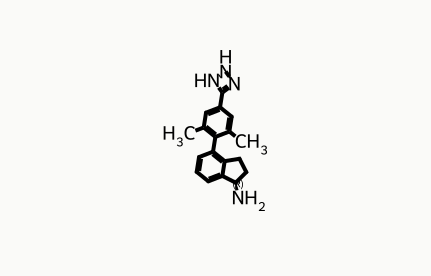 Cc1cc(-c2n[nH][nH]2)cc(C)c1-c1cccc2c1CC[C@H]2N